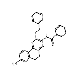 Nc1ccc2c(c1)CCc1nc(NC(=O)c3ccccc3)c(CCc3ccccc3)nc1-2